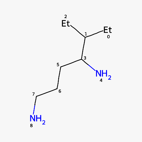 CCC(CC)C(N)CCCN